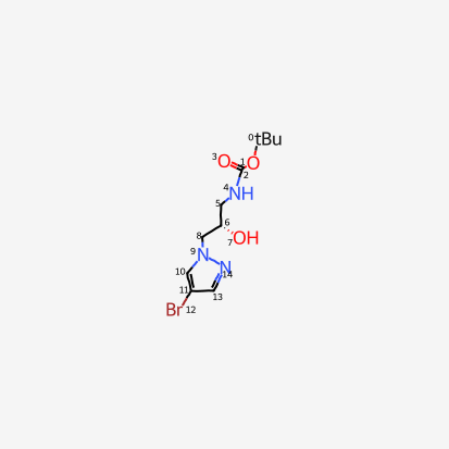 CC(C)(C)OC(=O)NC[C@H](O)Cn1cc(Br)cn1